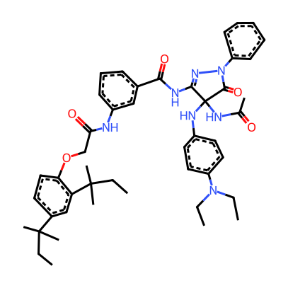 CCN(CC)c1ccc(NC2(NC(C)=O)C(=O)N(c3ccccc3)N=C2NC(=O)c2cccc(NC(=O)COc3ccc(C(C)(C)CC)cc3C(C)(C)CC)c2)cc1